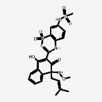 CONC1(CC=C(C)C)C(=O)C(C2=NS(=O)(=O)c3cc(NS(C)(=O)=O)ccc3N2)=C(O)c2ccccc21